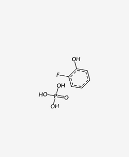 O=P(O)(O)O.Oc1ccccc1F